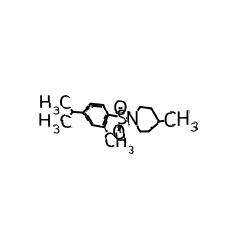 Cc1cc(C(C)C)ccc1S(=O)(=O)N1CCC(C)CC1